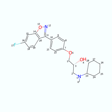 CN(C[C@@H](O)COc1ccc(-c2noc3cc(F)ccc23)cc1)C1CCCCC1